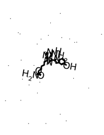 NC(=O)OCCCCn1nc(-c2cc3cc(O)ccc3[nH]2)c2c(N)ncnc21